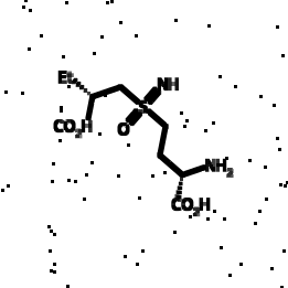 CC[C@H](CS(=N)(=O)CC[C@H](N)C(=O)O)C(=O)O